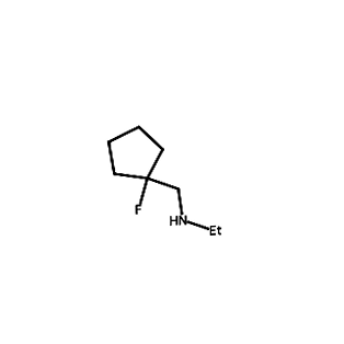 CCNCC1(F)CCCC1